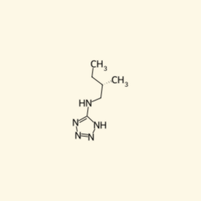 CC[C@H](C)CNc1nnn[nH]1